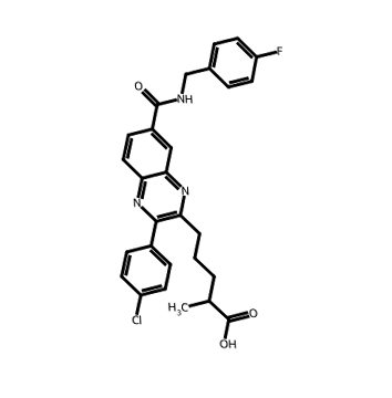 CC(CCCc1nc2cc(C(=O)NCc3ccc(F)cc3)ccc2nc1-c1ccc(Cl)cc1)C(=O)O